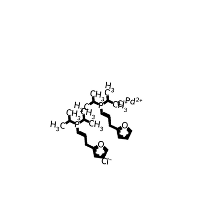 CC(C)P(C=CCc1ccco1)C(C)C.CC(C)P(C=CCc1ccco1)C(C)C.[Cl-].[Cl-].[Pd+2]